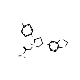 CCCCN(CCCC)C(=O)C[N+]1([O-])C[C@H](c2ccc3c(c2)OCO3)[C@@H](C(=O)O)[C@@H]1c1ccc(OC)cc1